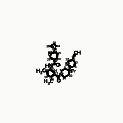 C#Cc1ccc(C2(F)CCN(C(=O)c3cc(NC(=O)c4ccc(N5CCC5)nc4)c(C)cc3C)CC2)nc1